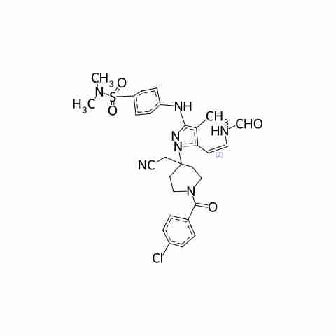 Cc1c(Nc2ccc(S(=O)(=O)N(C)C)cc2)nn(C2(CC#N)CCN(C(=O)c3ccc(Cl)cc3)CC2)c1/C=C\NC=O